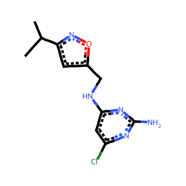 CC(C)c1cc(CNc2cc(Cl)nc(N)n2)on1